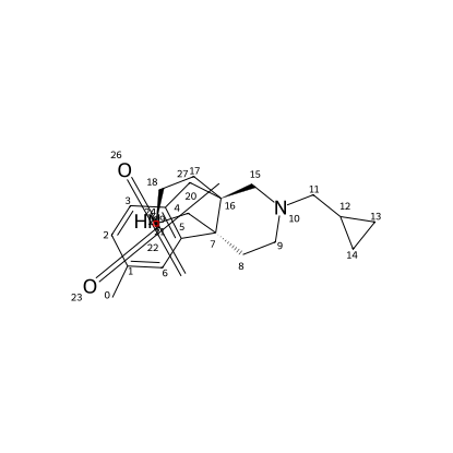 Cc1ccc2c(c1)[C@]13CCN(CC4CC4)C[C@]1(CC[C@]1(C3)NC(=O)CC1=O)C2